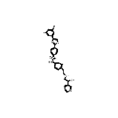 O=S(=O)(Nc1ccc(CCNCC(O)c2cccnc2)cc1)c1ccc(-c2nc(-c3cc(F)cc(F)c3)cs2)cc1